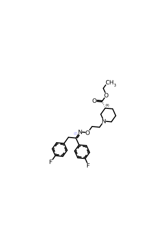 CCOC(=O)[C@@H]1CCCN(CCO/N=C(/Cc2ccc(F)cc2)c2ccc(F)cc2)C1